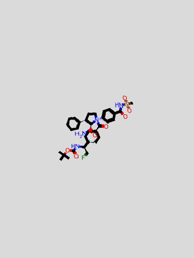 CC(C)(C)OC(=O)N[C@H](CF)[C@H]1CC[C@H](C(=O)[N+]2(c3ccc(C(=O)NS(C)(=O)=O)cc3)CC[C@@H](C3CCCCC3)[C@H]2C(N)=O)CC1